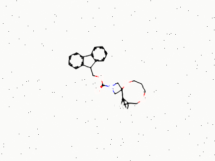 O=C(OCC1c2ccccc2-c2ccccc21)N1CC2(C1)OCCCOC[C]13[Co]4[Co]1[C]423